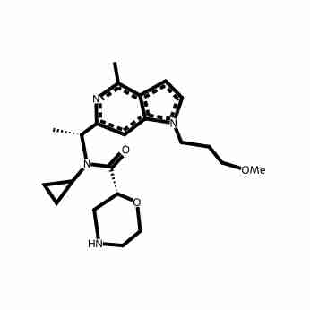 COCCCn1ccc2c(C)nc([C@@H](C)N(C(=O)[C@H]3CNCCO3)C3CC3)cc21